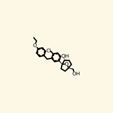 CCOc1ccc(Cc2cc([C@@]34CC[C@@](CO)(CC[C@H]3O)O4)ccc2Cl)cc1